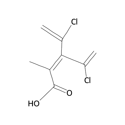 C=C(Cl)C(C(=C)Cl)=C(C)C(=O)O